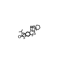 CC(C)n1c(=O)sc2cc(F)c(NC(=S)N3CCCCN3)cc21